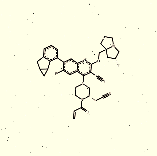 C=CC(=O)N1CCN(c2c(C#N)c(OCC34CCCN3C[C@H](F)C4)nc3cc(-c4cccc5c4C4CC4C5)c(F)cc23)C[C@@H]1CC#N